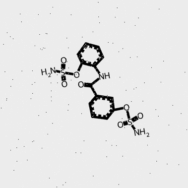 NS(=O)(=O)Oc1cccc(C(=O)Nc2ccccc2OS(N)(=O)=O)c1